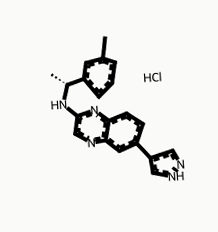 Cc1cccc([C@@H](C)Nc2cnc3cc(-c4cn[nH]c4)ccc3n2)c1.Cl